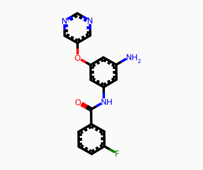 Nc1cc(NC(=O)c2cccc(F)c2)cc(Oc2cncnc2)c1